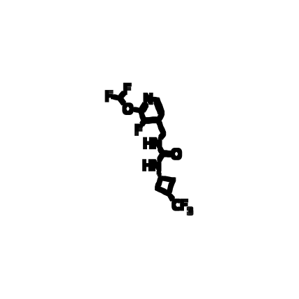 O=C(NCc1ccnc(OC(F)F)c1F)N[C@H]1C[C@H](C(F)(F)F)C1